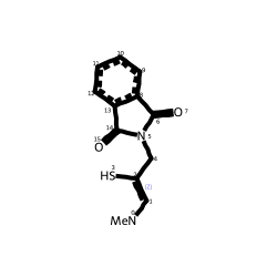 CN/C=C(\S)CN1C(=O)c2ccccc2C1=O